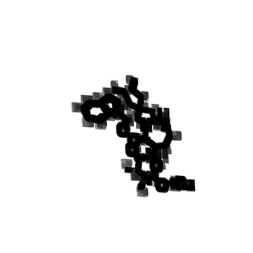 C=CCC1(CC=C)C[C@@H]2SCC[C@H](NC(=O)[C@H](C)N(C)C(=O)OC(C)(C)C)C(=O)N2[C@@H]1C(=O)n1ccc2ccccc21